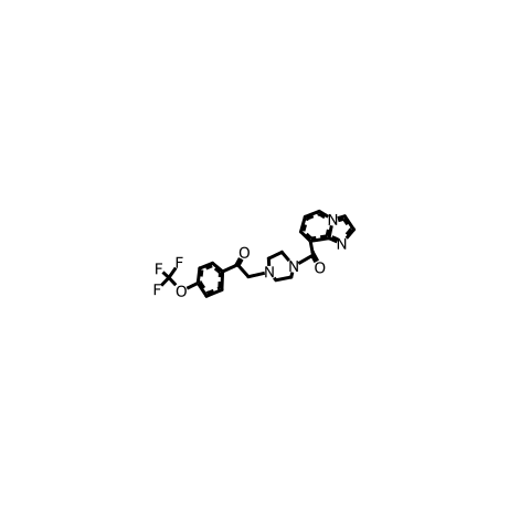 O=C(CN1CCN(C(=O)c2cccn3ccnc23)CC1)c1ccc(OC(F)(F)F)cc1